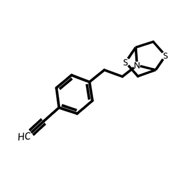 C#Cc1ccc(CCN2C3CSC2CS3)cc1